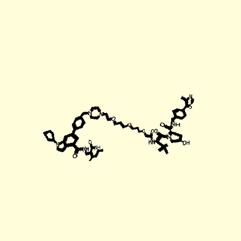 Cc1cc(C)c(CNC(=O)c2cc(-c3ccc(CN4CCN(CCOCCCOCCCOCC(=O)N[C@H](C(=O)N5C[C@H](O)C[C@H]5C(=O)NCc5ccc(-c6scnc6C)cc5)C(C)(C)C)CC4)cc3)cc3c2ccn3C2CCCC2)c(=O)[nH]1